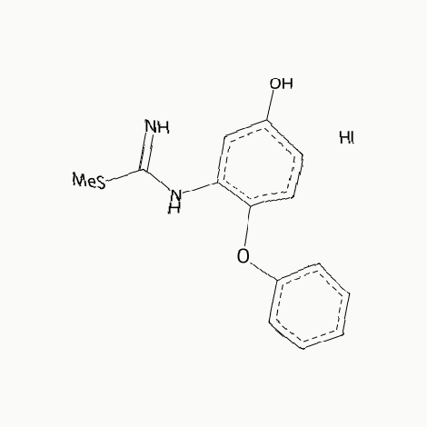 CSC(=N)Nc1cc(O)ccc1Oc1ccccc1.I